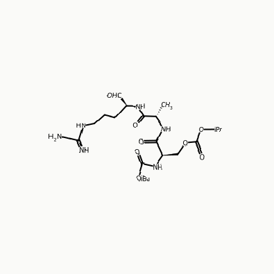 CC(C)COC(=O)N[C@H](COC(=O)OC(C)C)C(=O)N[C@@H](C)C(=O)N[C@H](C=O)CCCNC(=N)N